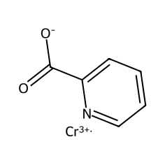 O=C([O-])c1ccccn1.[Cr+3]